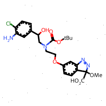 COC1(C(=O)O)N=Nc2cc(OCCN(CC(O)c3ccc(Cl)c(N)c3)C(=O)OC(C)(C)C)ccc21